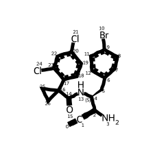 C=C=C(N)[C@H](Cc1ccc(Br)cc1)NC(=O)C1(c2ccc(Cl)cc2Cl)CC1